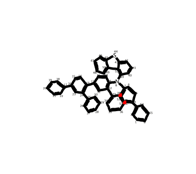 c1ccc(-c2ccc(N(c3ccc(-c4ccc(-c5ccccc5)cc4-c4ccccc4)cc3-c3ccccc3)c3cccc4sc5ccccc5c34)cc2)cc1